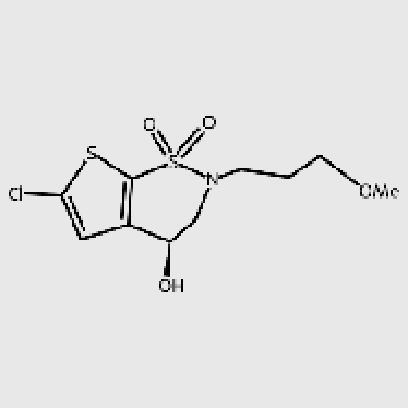 COCCCN1C[C@@H](O)c2cc(Cl)sc2S1(=O)=O